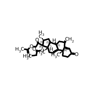 C=C1C[C@@H]2C(=CC[C@@]3(C)[C@H]2C[C@H](C)[C@]3(OC(=O)CC)C(=O)COC(C)=O)[C@@]2(C)CCC(=O)C=C12